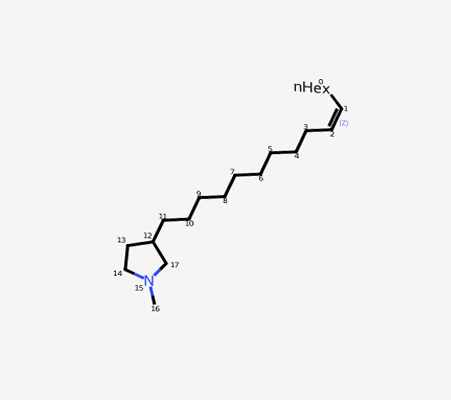 CCCCCC/C=C\CCCCCCCCCC1CCN(C)C1